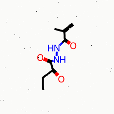 C=C(C)C(=O)NNC(=O)C(=O)CC